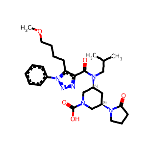 COCCCCc1c(C(=O)N(CC(C)C)[C@H]2C[C@@H](N3CCCC3=O)CN(C(=O)O)C2)nnn1-c1ccccc1